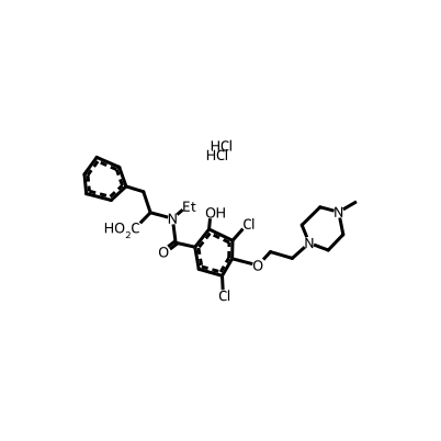 CCN(C(=O)c1cc(Cl)c(OCCN2CCN(C)CC2)c(Cl)c1O)C(Cc1ccccc1)C(=O)O.Cl.Cl